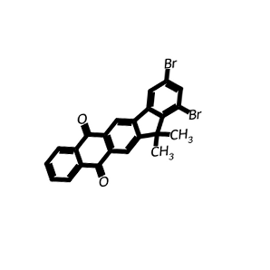 CC1(C)c2cc3c(cc2-c2cc(Br)cc(Br)c21)C(=O)c1ccccc1C3=O